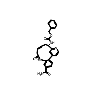 NC(=O)c1ccc2c(c1)NC(=O)CC=CC[C@H](NC(=O)OCc1ccccc1)c1cc-2ccn1